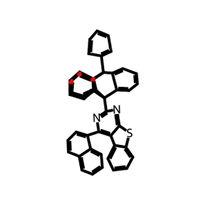 c1ccc(C23c4ccccc4C(c4nc(-c5cccc6ccccc56)c5c(n4)sc4ccccc45)(c4ccccc42)c2ccccc23)cc1